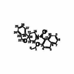 CCOc1ccc2ccccc2c1C(=O)N1CCC2(CC1)OCc1ccccc12